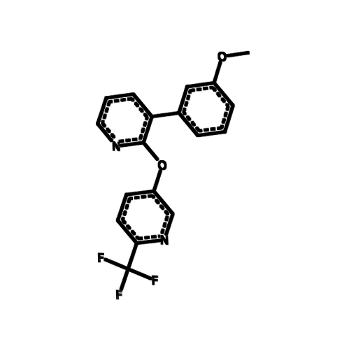 COc1cccc(-c2cccnc2Oc2ccc(C(F)(F)F)nc2)c1